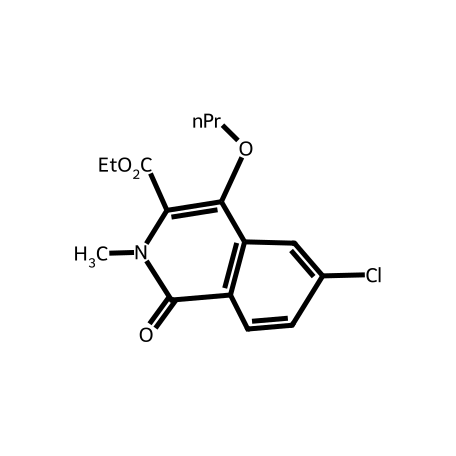 CCCOc1c(C(=O)OCC)n(C)c(=O)c2ccc(Cl)cc12